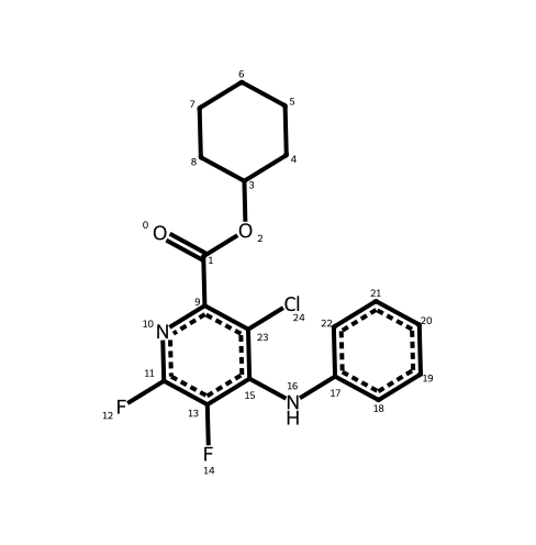 O=C(OC1CCCCC1)c1nc(F)c(F)c(Nc2ccccc2)c1Cl